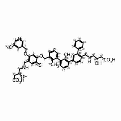 Cc1c(COc2cc(OCc3cncc(C#N)c3)c(CNC[C@@H](O)CC(=O)O)cc2Cl)cccc1-c1cccc(-c2ccc(CNC[C@@H](O)CC(=O)O)c(-c3ccccc3)c2)c1C